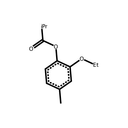 CCOc1cc(C)ccc1OC(=O)C(C)C